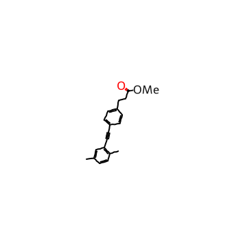 COC(=O)CCc1ccc(C#Cc2cc(C)ccc2C)cc1